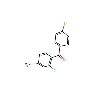 O=C(c1ccc(Br)cc1)c1ccc([N+](=O)[O-])cc1Cl